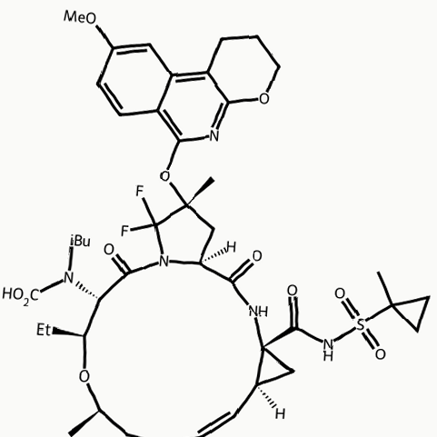 CCC(C)N(C(=O)O)[C@@H]1C(=O)N2[C@@H](C[C@@](C)(Oc3nc4c(c5cc(OC)ccc35)CCCO4)C2(F)F)C(=O)N[C@]2(C(=O)NS(=O)(=O)C3(C)CC3)C[C@H]2/C=C\CC[C@@H](C)O[C@H]1CC